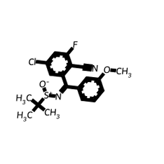 COc1cccc(C(=N[S+]([O-])C(C)(C)C)c2cc(Cl)cc(F)c2C#N)c1